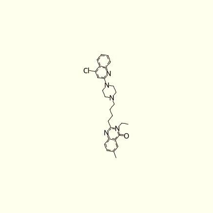 CCn1c(CCCCN2CCN(c3cc(Cl)c4ccccc4n3)CC2)nc2ccc(C)cc2c1=O